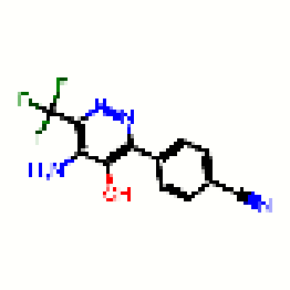 N#Cc1ccc(-c2nnc(C(F)(F)F)c(N)c2O)cc1